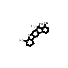 CC1(C)c2cc3oc4c(C#N)cccc4c3cc2-c2cccc(C#N)c21